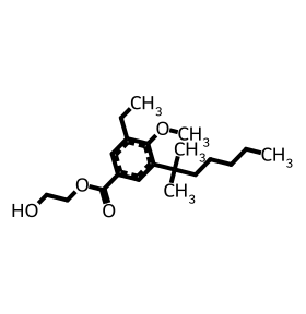 CCCCCC(C)(C)c1cc(C(=O)OCCO)cc(CC)c1OC